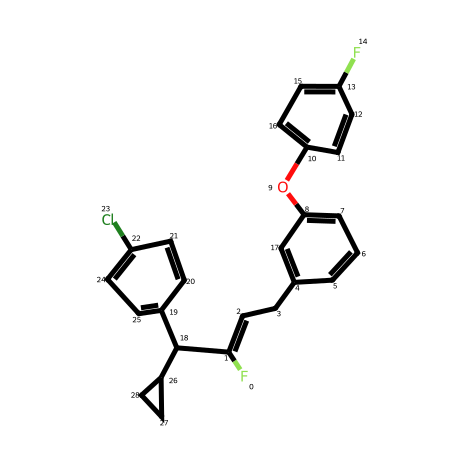 FC(=CCc1cccc(Oc2ccc(F)cc2)c1)C(c1ccc(Cl)cc1)C1CC1